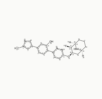 Cn1cc(-c2ccc(-c3ccc(O[C@@H]4C[C@@H]5CCC[C@@H](N5)[C@@H]4F)nn3)c(O)c2)cn1